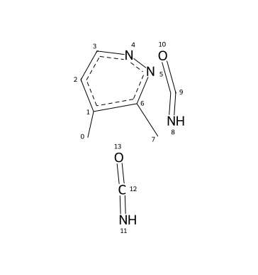 Cc1ccnnc1C.N=C=O.N=C=O